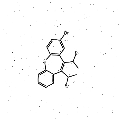 CC(Br)C1=C(C(C)Br)c2cc(Br)ccc2Sc2ccccc21